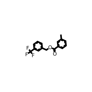 Cc1cccc(C(=O)OCc2cccc(C(F)(F)F)c2)c1